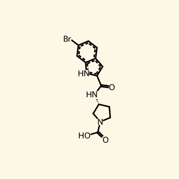 O=C(N[C@@H]1CCN(C(=O)O)C1)c1cc2ccc(Br)cc2[nH]1